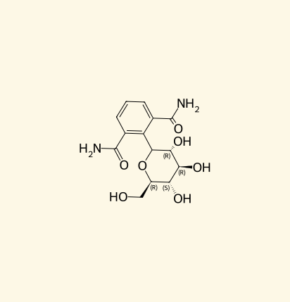 NC(=O)c1cccc(C(N)=O)c1C1O[C@H](CO)[C@@H](O)[C@H](O)[C@H]1O